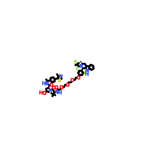 Cc1ncsc1-c1ccc(C(C)NC(=O)[C@@H]2C[C@@H](O)CN2C(=O)C(NC(=O)COCCOCCOCCOc2cc(F)c([C@@H]3c4[nH]c5ccccc5c4C[C@@H](C)N3CC(C)(C)F)c(F)c2)C(C)(C)C)cc1